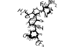 NC(=O)C1CCN(c2ncnc(N)c2F)C[C@@H]1N1CCC[C@@H](Nc2cc(Cl)cc(C(F)(F)F)c2)C1=O